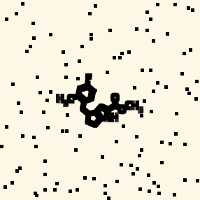 COC(=O)c1cc2c([nH]1)CCC2Cc1ccc(F)cc1C